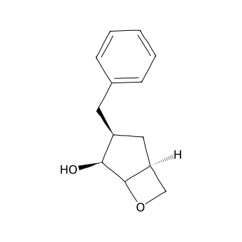 O[C@@H]1C2OC[C@@H]2C[C@@H]1Cc1ccccc1